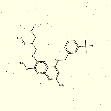 COCC(COc1cc2c(NCc3cc(C(F)(F)F)ccn3)nc(C)nc2cc1OC)OC